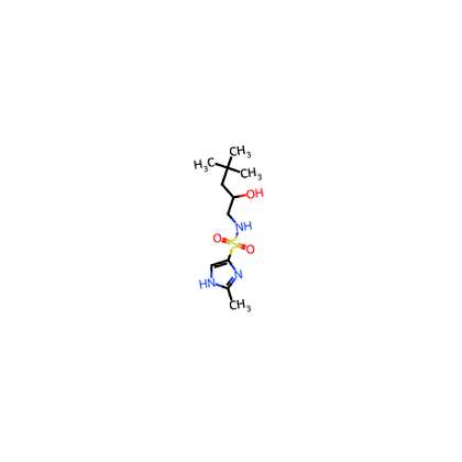 Cc1nc(S(=O)(=O)NCC(O)CC(C)(C)C)c[nH]1